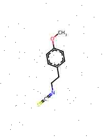 COc1ccc(CCN=C=S)cc1